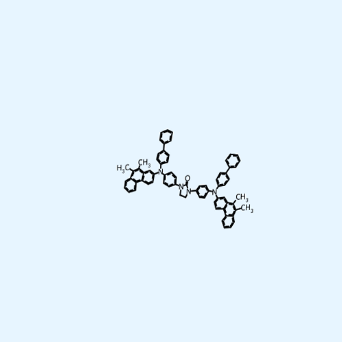 Cc1c(C)c2cc(N(c3ccc(-c4ccccc4)cc3)c3ccc(N4CCN(c5ccc(N(c6ccc(-c7ccccc7)cc6)c6ccc7c(c6)c(C)c(C)c6ccccc67)cc5)C4=O)cc3)ccc2c2ccccc12